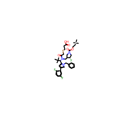 CC(C)(C)[C@H](c1cc(-c2cc(F)ccc2F)cn1Cc1ccccc1)N(CC1CN(C(=O)OCC[Si](C)(C)C)C[C@@H]1F)C(=O)CSCCC(=O)O